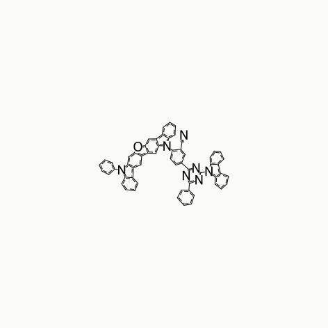 N#Cc1cc(-c2nc(-c3ccccc3)nc(-n3c4ccccc4c4ccccc43)n2)ccc1-n1c2ccccc2c2cc3oc4cc5c(cc4c3cc21)c1ccccc1n5-c1ccccc1